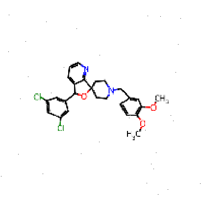 COc1ccc(CN2CCC3(CC2)OC(c2cc(Cl)cc(Cl)c2)c2cccnc23)cc1OC